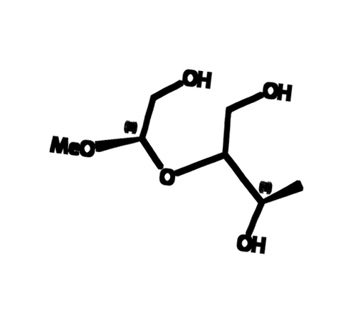 CO[C@@H](CO)OC(CO)[C@@H](C)O